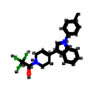 Cc1ccc(-n2cc(C3=CCN(C(=O)C(F)(F)F)CC3)c3ccccc32)cc1